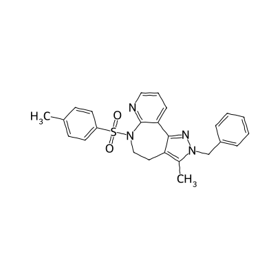 Cc1ccc(S(=O)(=O)N2CCc3c(nn(Cc4ccccc4)c3C)-c3cccnc32)cc1